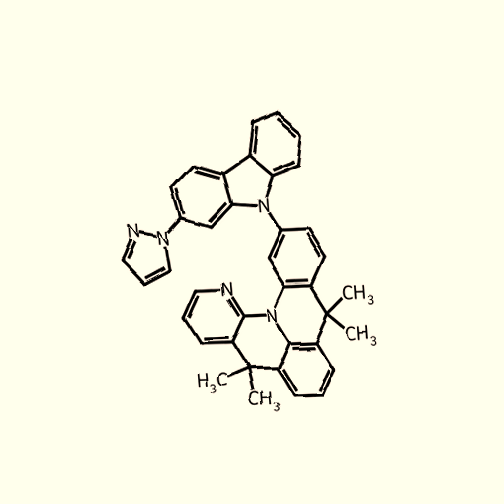 CC1(C)c2ccc(-n3c4ccccc4c4ccc(-n5cccn5)cc43)cc2N2c3ncccc3C(C)(C)c3cccc1c32